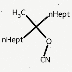 CCCCCCCC(C)(CCCCCCC)OC#N